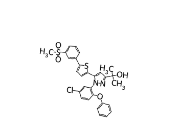 CC(C)(O)c1cc(-c2ccc(-c3cccc(S(C)(=O)=O)c3)s2)n(-c2cc(Cl)ccc2Oc2ccccc2)n1